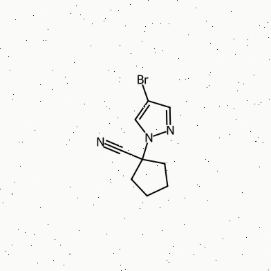 N#CC1(n2cc(Br)cn2)CCCC1